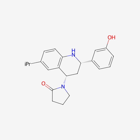 CC(C)c1ccc2c(c1)[C@@H](N1CCCC1=O)C[C@@H](c1cccc(O)c1)N2